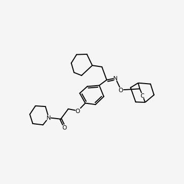 O=C(COc1ccc(C(CC2CCCCC2)=NOC2CC3CCC2CC3)cc1)N1CCCCC1